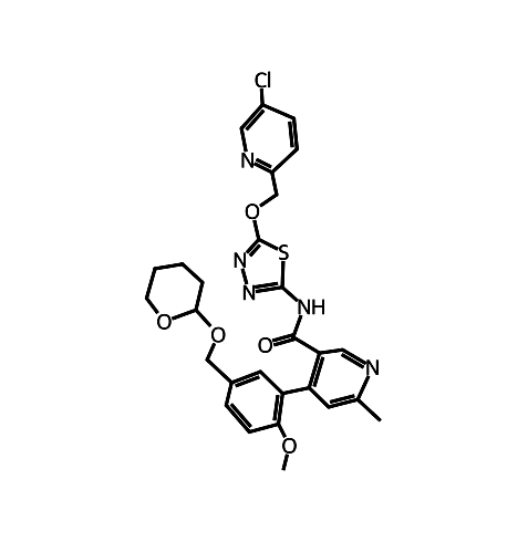 COc1ccc(COC2CCCCO2)cc1-c1cc(C)ncc1C(=O)Nc1nnc(OCc2ccc(Cl)cn2)s1